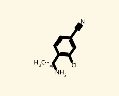 C[C@@H](N)c1ccc(C#N)cc1Cl